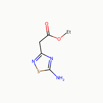 CCOC(=O)Cc1nsc(N)n1